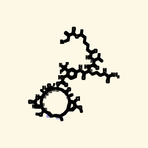 C=C(CBr)C(=O)OC(C)CCCCC(=O)N[C@H](C(=O)N[C@@H](CCCNC(N)=O)C(=O)Nc1ccc(NC(=O)O[C@H]2CC(=O)N(C)c3cc(cc(OC)c3Cl)C/C(C)=C/C=C/[C@@H](OC)[C@@]3(O)C[C@H](OC(=O)N3)[C@@H](C)[C@@H]3O[C@@]23C)c(C(F)(F)F)c1)C(C)C